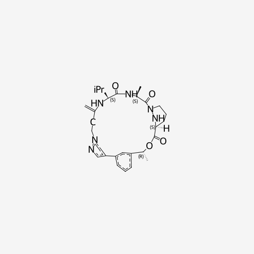 C=C1CCn2cc(cn2)-c2cccc(c2)[C@@H](C)OC(=O)[C@@H]2CCCN(N2)C(=O)[C@H](C)NC(=O)[C@H](C(C)C)N1